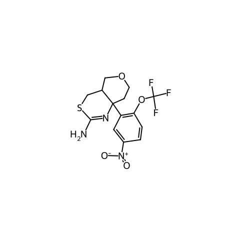 NC1=NC2(c3cc([N+](=O)[O-])ccc3OC(F)(F)F)CCOCC2CS1